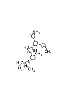 CCn1ccc(-c2cc(-c3cnn(C)c3)cc([C@@H](C)NC(=O)c3cc(N4C[C@@H](C)N(C)[C@@H](C)C4)ccc3C)c2)n1